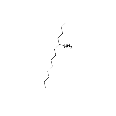 CCCCCCCCC(N)CCCC